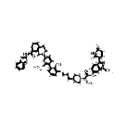 Cc1c(OCCCC2CCN([C@@H](C)C(=O)Nc3ccc4c(C5CCC(=O)NC5=O)nn(C)c4c3)CC2)cccc1-c1ccc(N2CCc3cccc(C(=O)Nc4nc5ccccc5s4)c3C2)nc1C(=O)O